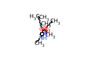 CCCCCCOc1c(OC/C=C(\C)CCC=C(C)C)c2ccc(NCCCC)cc2n(C)c1=O